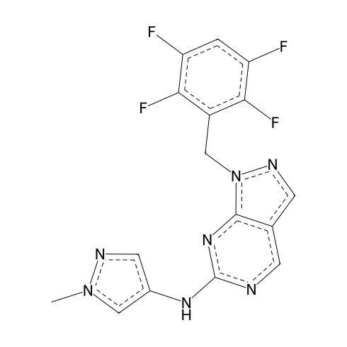 Cn1cc(Nc2ncc3cnn(Cc4c(F)c(F)cc(F)c4F)c3n2)cn1